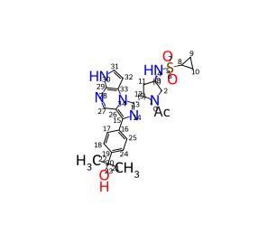 CC(=O)N1C[C@H](NS(=O)(=O)C2CC2)C[C@H]1c1nc(-c2ccc(C(C)(C)O)cc2)c2cnc3[nH]ccc3n12